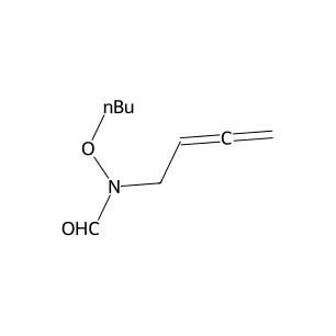 C=C=CCN(C=O)OCCCC